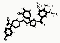 COc1cc(C(=O)N2CCC(CCN3CCC(C(N)=O)(c4ccc(Cl)cc4)CC3)(c3ccc(Cl)c(Cl)c3)C2)cc(OC)c1OC